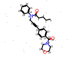 CCCCC(=O)N(CC#Cc1ccc(C(=O)N2CCOCC2)cc1)c1ccccc1